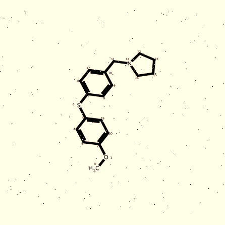 COc1ccc(Sc2ccc(CN3CCCC3)cc2)cc1